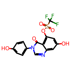 O=c1c2c(OS(=O)(=O)C(F)(F)F)cc(O)cc2ncn1-c1ccc(O)cc1